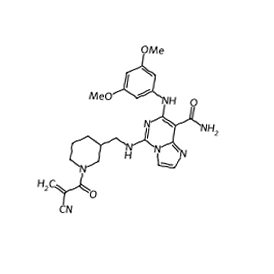 C=C(C#N)C(=O)N1CCCC(CNc2nc(Nc3cc(OC)cc(OC)c3)c(C(N)=O)c3nccn23)C1